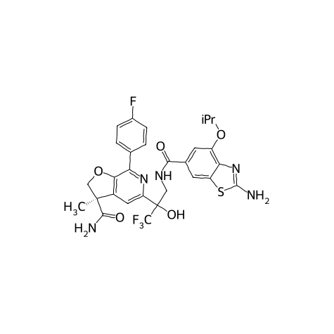 CC(C)Oc1cc(C(=O)NCC(O)(c2cc3c(c(-c4ccc(F)cc4)n2)OC[C@]3(C)C(N)=O)C(F)(F)F)cc2sc(N)nc12